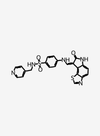 O=C1Nc2ccc3ncsc3c2C1=CNc1ccc(S(=O)(=O)NCc2ccncc2)cc1